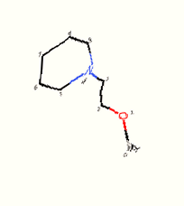 CC(C)OCCN1CCCCC1